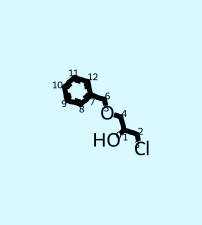 OC(CCl)COCc1ccccc1